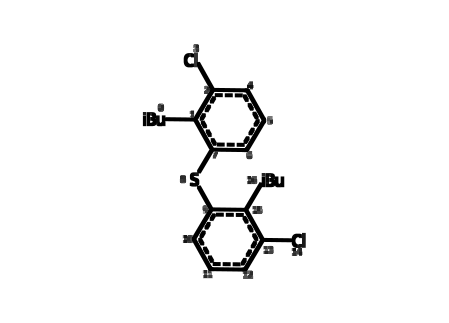 CCC(C)c1c(Cl)cccc1Sc1cccc(Cl)c1C(C)CC